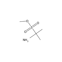 COS(=O)(=O)C(C)(C)C.N